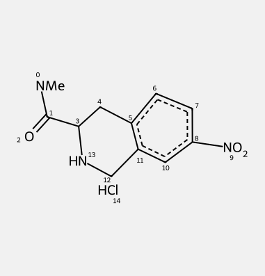 CNC(=O)C1Cc2ccc([N+](=O)[O-])cc2CN1.Cl